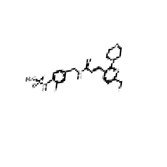 CS(=O)(=O)Nc1ccc(CNC(=O)/C=C/c2ccc(CF)nc2N2CCOCC2)cc1F